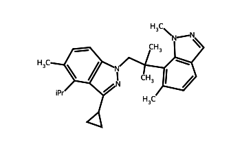 Cc1ccc2c(c(C3CC3)nn2CC(C)(C)c2c(C)ccc3cnn(C)c23)c1C(C)C